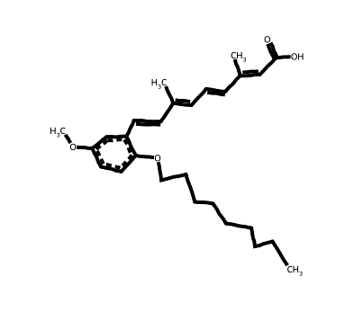 CCCCCCCCCOc1ccc(OC)cc1/C=C/C(C)=C/C=C/C(C)=C/C(=O)O